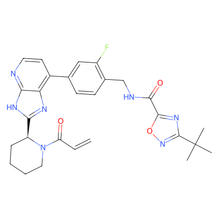 C=CC(=O)N1CCCC[C@H]1c1nc2c(-c3ccc(CNC(=O)c4nc(C(C)(C)C)no4)c(F)c3)ccnc2[nH]1